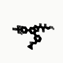 CCNC(=O)Nc1nc2cc(-c3cnc(C(C)(C)O)nc3)cc(-c3cc(CNC4CC4)ccn3)c2s1